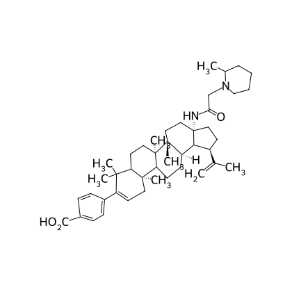 C=C(C)[C@@H]1CC[C@]2(NC(=O)CN3CCCCC3C)CC[C@]3(C)[C@H](CCC4[C@@]5(C)CC=C(c6ccc(C(=O)O)cc6)C(C)(C)C5CC[C@]43C)C12